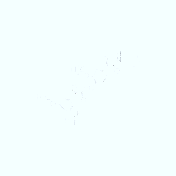 COc1cc(NC(=O)COc2ccc(C(=O)C(=O)NC3CCCCC3)cc2OC)cc(C(F)(F)F)c1